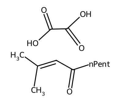 CCCCCC(=O)C=C(C)C.O=C(O)C(=O)O